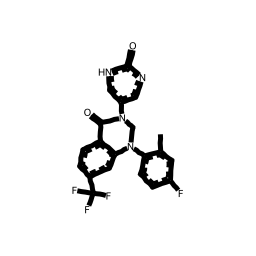 Cc1cc(F)ccc1N1CN(c2cnc(=O)[nH]c2)C(=O)c2ccc(C(F)(F)F)cc21